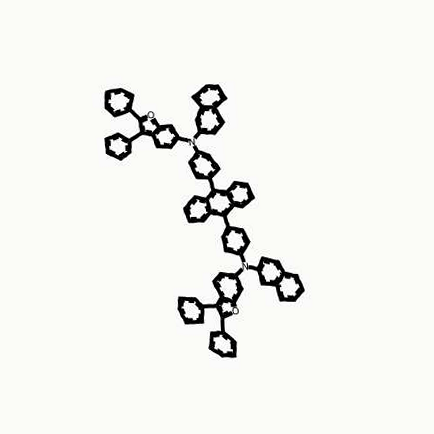 c1ccc(-c2oc3cc(N(c4ccc(-c5c6ccccc6c(-c6ccc(N(c7ccc8ccccc8c7)c7ccc8c(-c9ccccc9)c(-c9ccccc9)oc8c7)cc6)c6ccccc56)cc4)c4ccc5ccccc5c4)ccc3c2-c2ccccc2)cc1